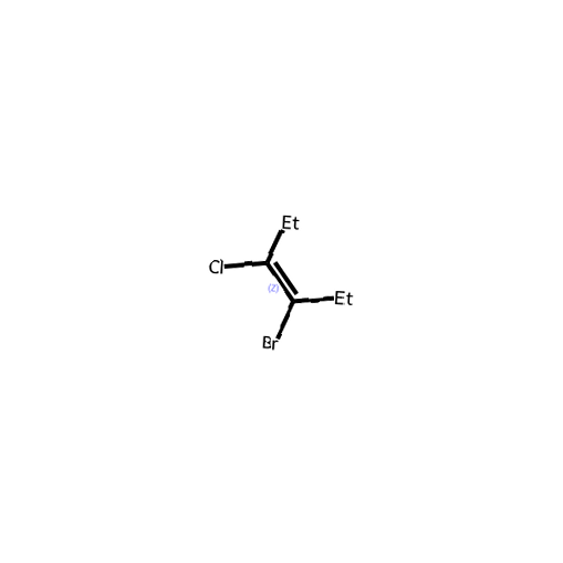 CC/C(Cl)=C(/Br)CC